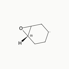 [CH]1CC[C@@H]2OC2C1